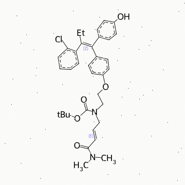 CC/C(=C(\c1ccc(O)cc1)c1ccc(OCCN(C/C=C/C(=O)N(C)C)C(=O)OC(C)(C)C)cc1)c1ccccc1Cl